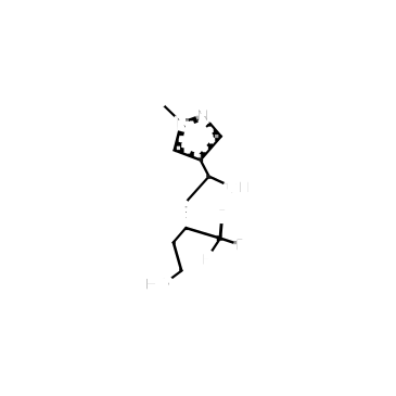 Cn1cc(C(O)C[C@@H](CCO)C(F)(F)F)cn1